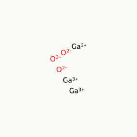 [Ga+3].[Ga+3].[Ga+3].[O-2].[O-2].[O-2]